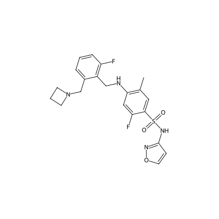 Cc1cc(S(=O)(=O)Nc2ccon2)c(F)cc1NCc1c(F)cccc1CN1CCC1